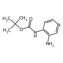 CC(C)(C)OC(=O)Nc1ccncc1N